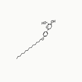 CCCCCCCCCCCCCCOc1ccc([C@H]2CC[C@H](O)[C@@H](CO)O2)cc1